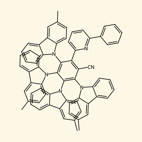 Cc1ccc2c(c1)c1ccccc1n2-c1c(C#N)c(-c2cccc(-c3ccccc3)n2)c(-n2c3ccccc3c3cc(C)ccc32)c(-n2c3ccccc3c3cc(C)ccc32)c1-n1c2ccccc2c2cc(C)ccc21